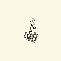 CN(C)C1CCN(C(=O)COCCC2CCCCN2S(=O)(=O)c2cccc3ccccc23)C1